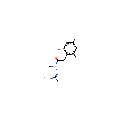 CCOC(=O)C(=NN(C)C(=O)Cc1c(CC)cc(CC)cc1CC)SC